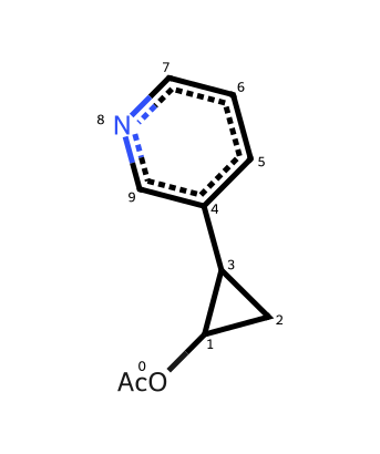 CC(=O)OC1CC1c1cccnc1